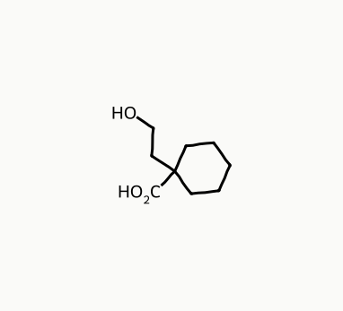 O=C(O)C1(CCO)CCCCC1